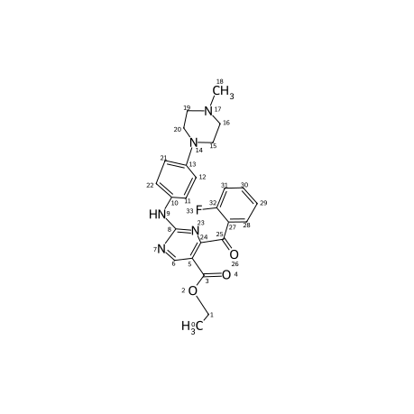 CCOC(=O)c1cnc(Nc2ccc(N3CCN(C)CC3)cc2)nc1C(=O)c1ccccc1F